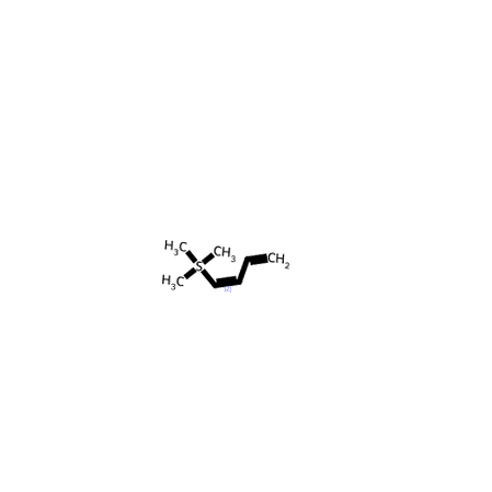 C=C/C=C\S(C)(C)C